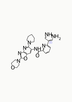 N=C/C(=C\N)c1cccc(C(=O)Nc2cc3oc(N4CCOCC4)nc3nc2N2CCCCC2)n1